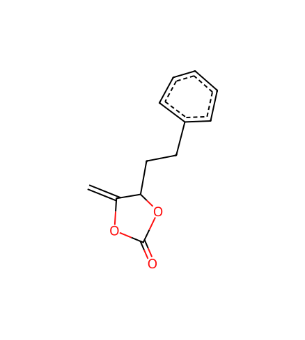 C=C1OC(=O)OC1CCc1ccccc1